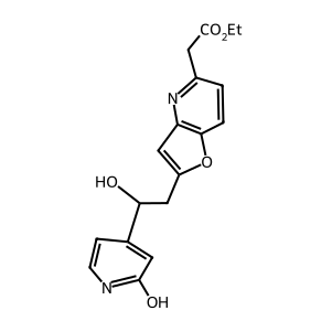 CCOC(=O)Cc1ccc2oc(CC(O)c3ccnc(O)c3)cc2n1